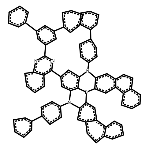 c1ccc(-c2ccc(N3c4cc5ccc6ccccc6c5cc4B4c5cc6c(ccc7ccccc76)cc5N(c5ccc(-c6ccccc6)cc5)c5cc(-c6nc(-c7cc(-c8ccccc8)cc(-c8ccccc8)c7)nc7ccccc67)cc3c54)cc2)cc1